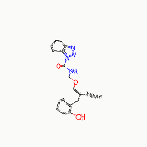 CN/C(=C\OCNC(=O)n1nnc2ccccc21)Cc1ccccc1O